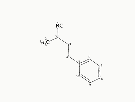 [C-]#[N+]C(C)CCc1ccccc1